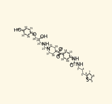 O=C(NCCCc1cccs1)Nc1ccc(S(=O)(=O)C2CCN(CNC[C@H](O)COc3ccc(O)cc3)CC2)cc1